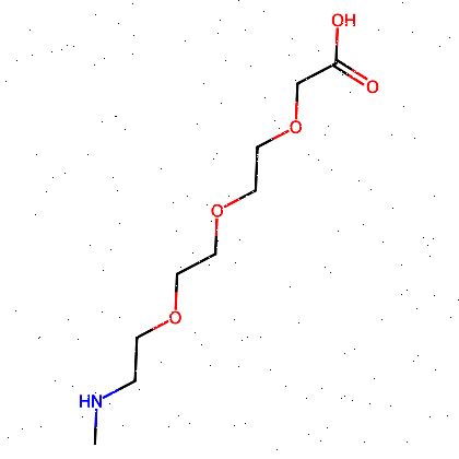 CNCCOCCOCCOCC(=O)O